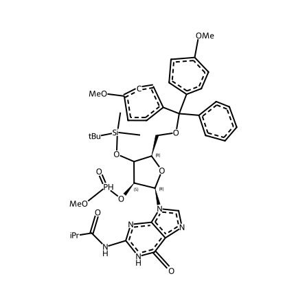 COc1ccc(C(OC[C@H]2O[C@@H](n3cnc4c(=O)[nH]c(NC(=O)C(C)C)nc43)[C@@H](O[PH](=O)OC)C2O[Si](C)(C)C(C)(C)C)(c2ccccc2)c2ccc(OC)cc2)cc1